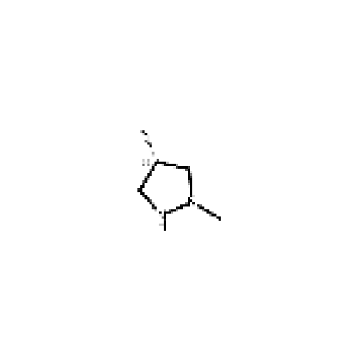 C[C@H]1CNN(C)C1